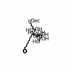 CCCCCCCCCCCCCC[C@@H](O)[C@@H](O)[C@H](COC1OC(CO)C(O)C(O)C1O)NC(O)CCCCCCCCCc1ccccc1